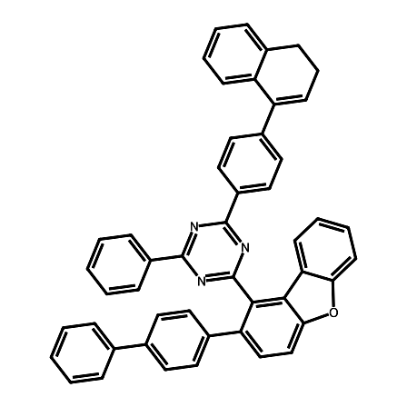 C1=C(c2ccc(-c3nc(-c4ccccc4)nc(-c4c(-c5ccc(-c6ccccc6)cc5)ccc5oc6ccccc6c45)n3)cc2)c2ccccc2CC1